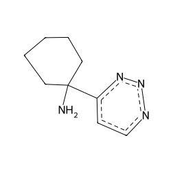 NC1(c2ccnnn2)CCCCC1